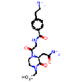 NCCc1ccc(C(=O)NCC(=O)N2CCN(CC(=O)O)C(=O)C2CC(N)=O)cc1